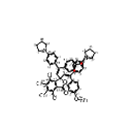 CCCOc1ccc(/C(=C\C2(/C=C(\c3ccc(OCCC)cc3)c3ccc(N4CCCC4)cc3)OC(=O)c3c(Cl)c(Cl)c(Cl)c(Cl)c32)c2ccc(N3CCCC3)cc2)cc1